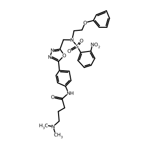 CN(C)CCCC(=O)Nc1ccc(-c2nnc(CN(CCOc3ccccc3)S(=O)(=O)c3ccccc3[N+](=O)[O-])o2)cc1